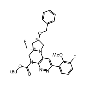 COc1c(F)cccc1-c1cc2c(nn1)N(C(=O)OC(C)(C)C)C[C@@]1(CF)C[C@@H](OCc3ccccc3)CN21